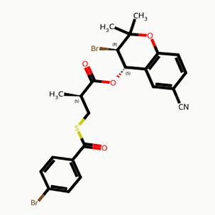 C[C@H](CSC(=O)c1ccc(Br)cc1)C(=O)O[C@H]1c2cc(C#N)ccc2OC(C)(C)[C@@H]1Br